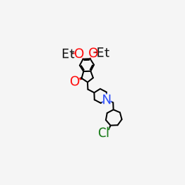 CCOc1cc2c(cc1OCC)C(=O)C(CC1CCN(CC3CCCC(Cl)CC3)CC1)C2